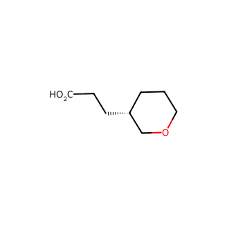 O=C(O)CC[C@@H]1CCCOC1